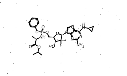 CC(C)OC(=O)[C@@H](C)N[P@@](=O)(OC[C@H]1O[C@@H](n2cnc3c(NC4CC4)nc(N)nc32)[C@](C)(F)[C@@H]1O)Oc1ccccc1